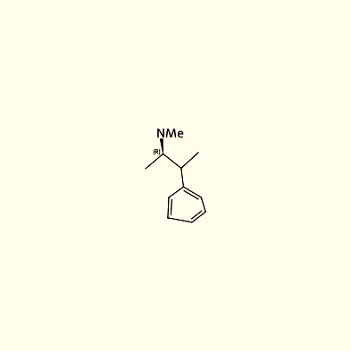 CN[C@H](C)C(C)c1ccccc1